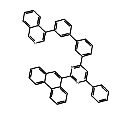 c1ccc(-c2cc(-c3cccc(-c4cccc(-c5cncc6ccccc56)c4)c3)nc(-c3cc4ccccc4c4ccccc34)n2)cc1